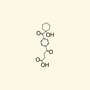 O=C(O)CCC(=O)c1ccc(C(=O)C2(O)CCCCC2)cc1